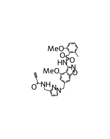 C#CC(=O)NCc1ccn(Cc2cc(OC)c3c(NS(=O)(=O)c4c(C)cccc4OC)noc3c2)n1